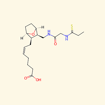 CCC(=S)NCC(=O)NC[C@H]1[C@@H](C/C=C\CCCC(=O)O)[C@H]2CC[C@@H]1O2